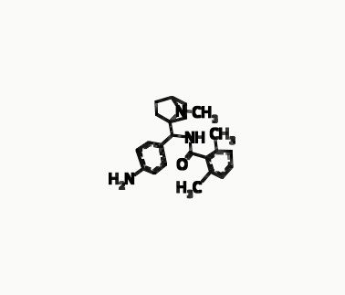 Cc1cccc(C)c1C(=O)NC(c1ccc(N)cc1)C12CCC(CC1)N2C